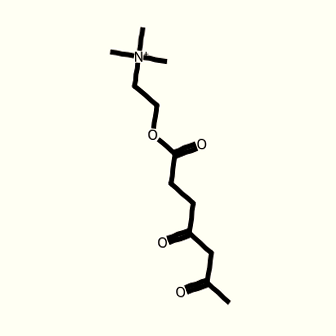 CC(=O)CC(=O)CCC(=O)OCC[N+](C)(C)C